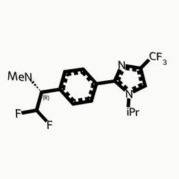 CN[C@H](c1ccc(-c2nc(C(F)(F)F)cn2C(C)C)cc1)C(F)F